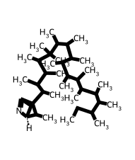 CCC(C)C(C)C(C)C(C)C(C)C(C)C(C)C(C)C(C)C(C)C(C)(C)C(C)C(C)C(C)C(C)C1C2=N[C@@H](C2)C1C